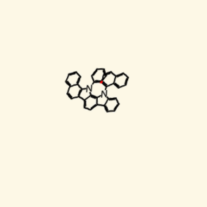 c1ccc(-n2c3c4ccccc4ccc3c3ccc4c5ccccc5n(-c5cccc6ccccc56)c4c32)cc1